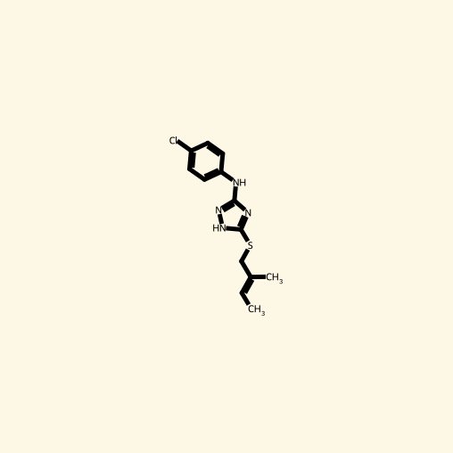 C/C=C(\C)CSc1nc(Nc2ccc(Cl)cc2)n[nH]1